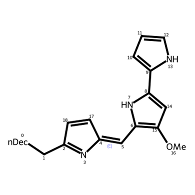 CCCCCCCCCCCC1=N/C(=C/c2[nH]c(-c3ccc[nH]3)cc2OC)C=C1